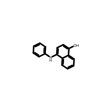 Oc1ccc(Nc2ccccc2)c2ccccc12